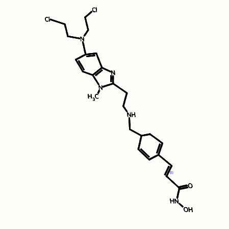 Cn1c(CCNCC2C=CC(/C=C/C(=O)NO)=CC2)nc2cc(N(CCCl)CCCl)ccc21